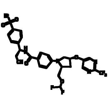 CCS(=O)(=O)c1ccc([C@H](CC#N)NC(=O)c2ccc(N3C[C@@H](Oc4cnc(C(F)(F)F)nc4)C[C@H]3COC(F)F)cc2)cc1